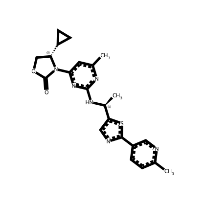 Cc1ccc(-c2ncc([C@H](C)Nc3nc(C)cc(N4C(=O)OC[C@@H]4C4CC4)n3)s2)cn1